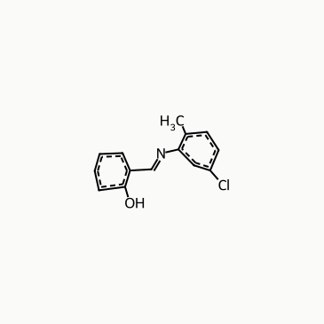 Cc1ccc(Cl)cc1/N=C/c1ccccc1O